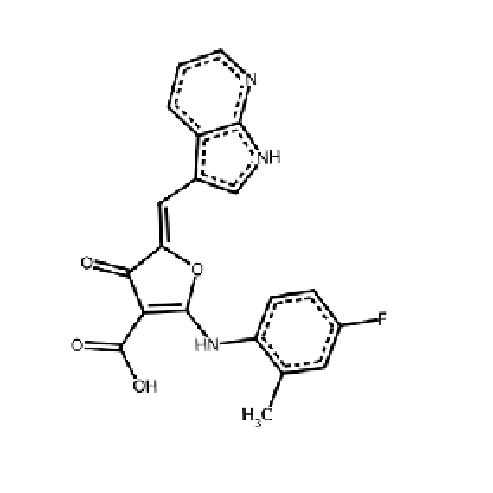 Cc1cc(F)ccc1NC1=C(C(=O)O)C(=O)C(=Cc2c[nH]c3ncccc23)O1